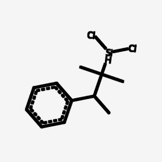 CC(c1ccccc1)C(C)(C)[SiH](Cl)Cl